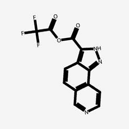 O=C(OC(=O)C(F)(F)F)c1[nH]nc2c1ccc1cnccc12